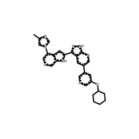 Cc1cn(-c2cncc3[nH]c(-c4n[nH]c5ncc(-c6cncc(OC7CCCCC7)c6)cc45)cc23)cn1